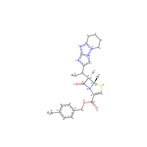 CC(=O)OC(c1cn2c(n1)nc1n2CCCC1)[C@]1(Br)C(=O)N2C(C(=O)OCc3ccc([N+](=O)[O-])cc3)=CS[C@H]21